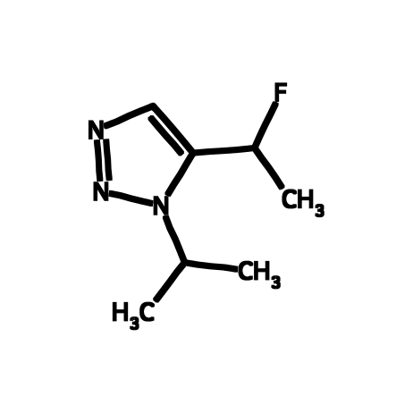 CC(F)c1cnnn1C(C)C